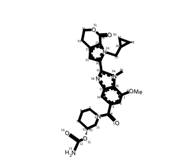 COc1cc(C(=O)N2CCC[C@@H](OC(N)=O)C2)cc2nc(-c3cc4c(n3CC3CC3)C(=O)OCC4)n(C)c12